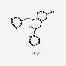 CCN(Cc1cc(Br)ccc1OCc1ccccc1)c1ccc(C(=O)O)cn1